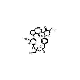 CCCCCC(NC(=O)C1C(C(C)(C)C)CCN1C(=O)[C@@H](NC(=O)NC(C)(CC(C)C)CS(=O)(=O)Cc1ccccc1)C(C)(C)C)C(=O)C(N)=O